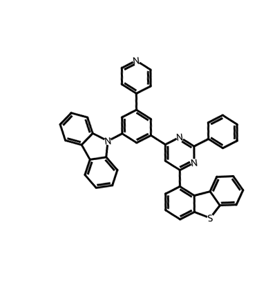 c1ccc(-c2nc(-c3cc(-c4ccncc4)cc(-n4c5ccccc5c5ccccc54)c3)cc(-c3cccc4sc5ccccc5c34)n2)cc1